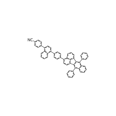 N#Cc1ccc(-c2ccc(-c3ccc(-c4ccc5c6c(cccc46)-c4c-5c(-c5ccccc5)c5ccccc5c4-c4ccccc4)cc3)c3ccccc23)cc1